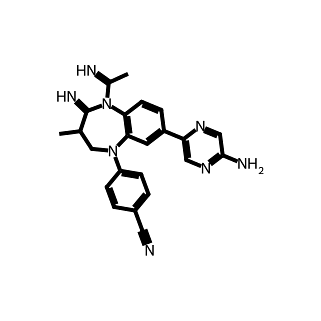 CC(=N)N1C(=N)C(C)CN(c2ccc(C#N)cc2)c2cc(-c3cnc(N)cn3)ccc21